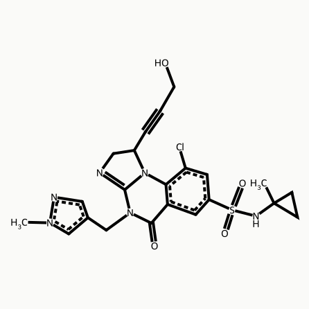 Cn1cc(CN2C(=O)c3cc(S(=O)(=O)NC4(C)CC4)cc(Cl)c3N3C2=NCC3C#CCO)cn1